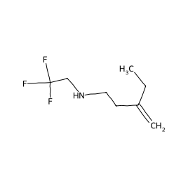 C=C(CC)CCNCC(F)(F)F